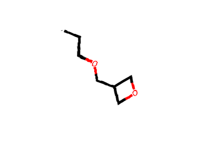 [CH2]CCOCC1COC1